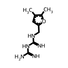 Cc1cc(CNC(=N)NC(=N)N)oc1C